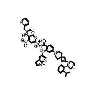 CC(C)c1ccccc1[C@@H]1COCCN1C1CC2(CCN(c3ccc(C(=O)NS(=O)(=O)c4cc([N+](=O)[O-])c5c(n4)OC[C@H](Cc4ccccn4)N5)c(Oc4cnc5[nH]ccc5c4)c3)CC2)C1